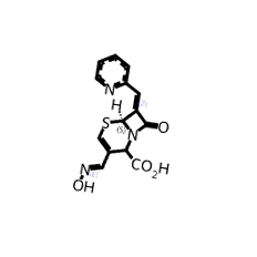 O=C(O)C1C(/C=N/O)=CS[C@H]2/C(=C\c3ccccn3)C(=O)N12